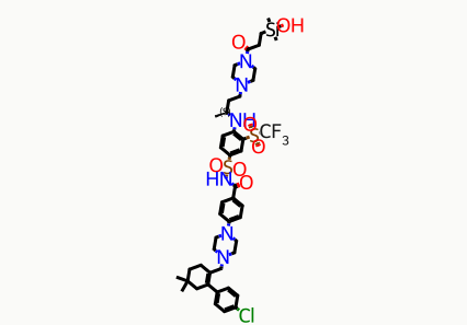 C[C@@H](CCN1CCN(C(=O)CC[Si](C)(C)O)CC1)Nc1ccc(S(=O)(=O)NC(=O)c2ccc(N3CCN(CC4=C(c5ccc(Cl)cc5)CC(C)(C)CC4)CC3)cc2)cc1S(=O)(=O)C(F)(F)F